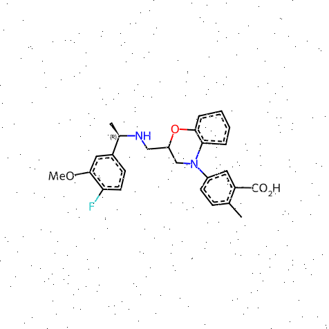 COc1cc([C@@H](C)NCC2CN(c3ccc(C)c(C(=O)O)c3)c3ccccc3O2)ccc1F